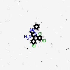 Nc1c(-c2ccc(Cl)cc2)c(-c2ccc(Cl)cc2Cl)nc2c1cnn2-c1ccccc1